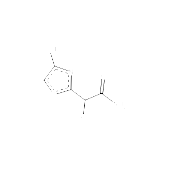 Cc1csc(C(C)C(N)=O)n1